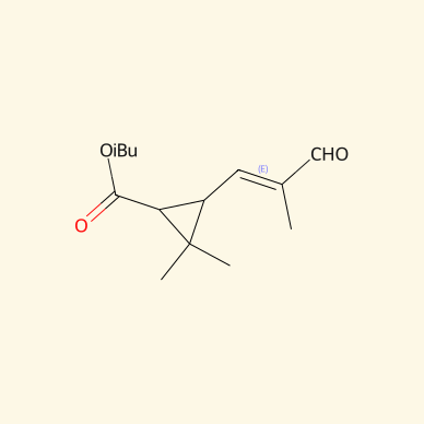 C/C(C=O)=C\C1C(C(=O)OCC(C)C)C1(C)C